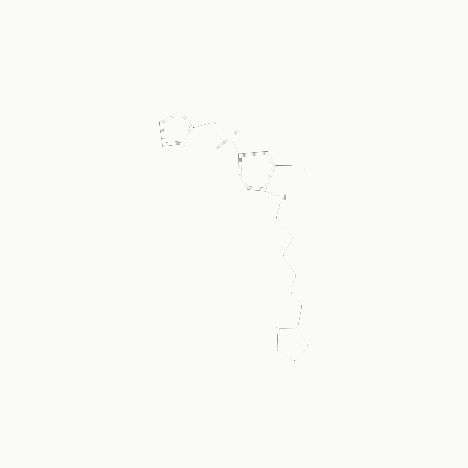 O=S(=O)(Nc1nccs1)c1ccc(NCCCCNCC2CCCN2)c(C(F)(F)F)c1